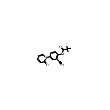 N#Cc1cc(-n2ccccc2=O)ccc1NC(=O)C(F)(F)F